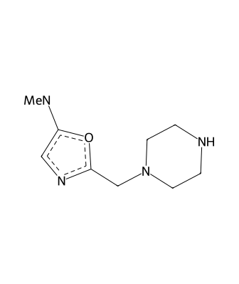 CNc1cnc(CN2CCNCC2)o1